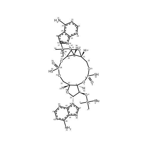 CC(C)(C)[Si](C)(C)O[C@@H]1[C@@H]2OP(=O)(S)OC[C@H]3O[C@@H](n4ccc5c(N)ncnc54)[C@H](OP(=O)(S)OC[C@H]2O[C@H]1n1cnc2c(N)ncnc21)[C@@H]3O[Si](C)(C)C(C)(C)C